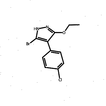 CCOc1n[nH]c(Br)c1-c1ccc(Cl)cc1